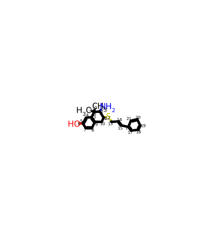 CC1(C)c2cc(O)ccc2CC(SCC=Cc2ccccc2)C1N